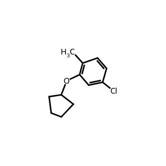 Cc1ccc(Cl)cc1OC1CCCC1